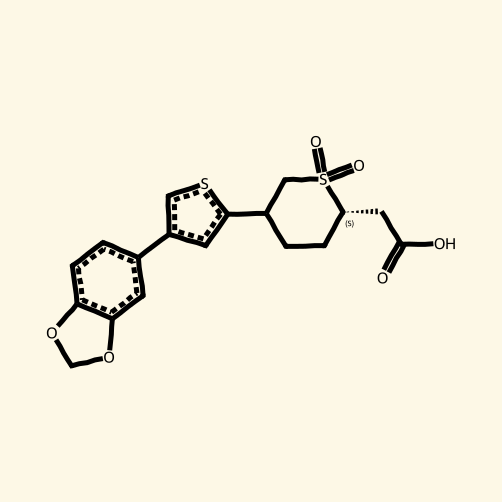 O=C(O)C[C@@H]1CCC(c2cc(-c3ccc4c(c3)OCO4)cs2)CS1(=O)=O